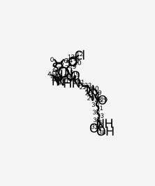 Cc1sc2c(c1C)C(c1ccc(Cl)cc1)=NC(CC(=O)NCCCN1CCN(C(=O)CCCCCNC(=O)O)CC1)c1nnc(C)n1-2